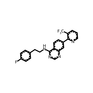 Fc1ccc(CCNc2ncnc3cc(-c4ncccc4C(F)(F)F)ccc23)cc1